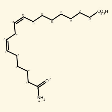 NC(=O)CCCC/C=C\C/C=C\CCCCCCCC(=O)O